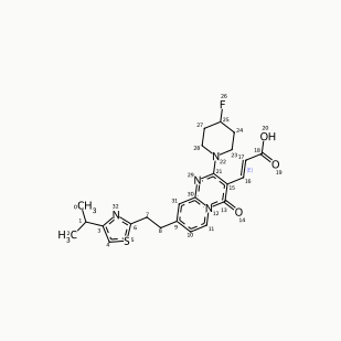 CC(C)c1csc(CCc2ccn3c(=O)c(/C=C/C(=O)O)c(N4CCC(F)CC4)nc3c2)n1